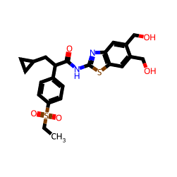 CCS(=O)(=O)c1ccc(C(CC2CC2)C(=O)Nc2nc3cc(CO)c(CO)cc3s2)cc1